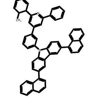 CC1C=CC=CC1c1cc(-c2cccc(-n3c4ccc(-c5cccc6ccccc56)cc4c4cc(-c5cccc6ccccc56)ccc43)c2)cc(-c2ccccc2)n1